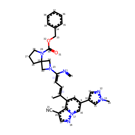 C=N/C(=C\C=C(/C)c1cc(-c2cnn(C)c2)cn2ncc(C#N)c12)N1CC2(CCCN2C(=O)OCc2ccccc2)C1